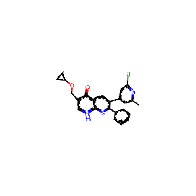 Cc1cc(-c2cc3c(=O)c(COC4CC4)c[nH]c3nc2-c2ccccc2)cc(Cl)n1